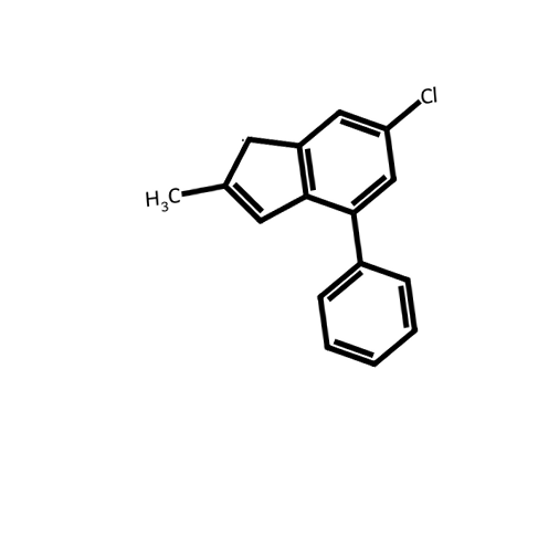 CC1=Cc2c(cc(Cl)cc2-c2ccccc2)[CH]1